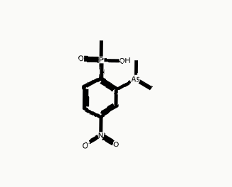 C[As](C)c1cc([N+](=O)[O-])ccc1P(C)(=O)O